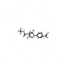 CC(=O)c1ccc(N2C[C@@H]3C[C@H]2CN3C(=O)OC(C)(C)C)cc1